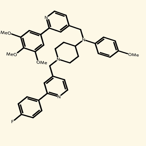 COc1ccc(N(Cc2ccnc(-c3cc(OC)c(OC)c(OC)c3)c2)C2CCN(Cc3ccnc(-c4ccc(F)cc4)c3)CC2)cc1